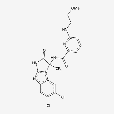 COCCNc1cccc(C(=O)NC2(C(F)(F)F)C(=O)Nc3nc4cc(Cl)c(Cl)cc4n32)n1